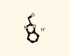 O=Cc1nc2ccccc2o1.[H+]